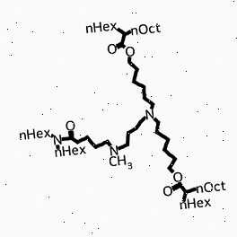 CCCCCCCCC(CCCCCC)C(=O)OCCCCCCN(CCCCCCOC(=O)C(CCCCCC)CCCCCCCC)CCCCN(C)CCCCC(=O)N(CCCCCC)CCCCCC